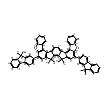 CC1(C)c2ccccc2-c2ccc(-c3cc4c(c5c3oc3ccccc35)-c3ccc5c(c3C4(C)C)C(C)(C)c3cc(-c4ccc6c(c4)C(C)(C)c4ccccc4-6)c4oc6ccccc6c4c3-5)cc21